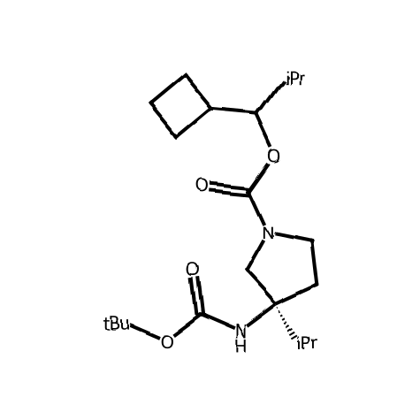 CC(C)C(OC(=O)N1CC[C@](NC(=O)OC(C)(C)C)(C(C)C)C1)C1CCC1